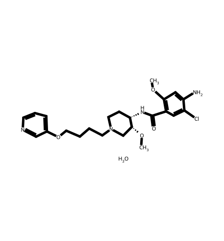 COc1cc(N)c(Cl)cc1C(=O)N[C@H]1CCN(CCCCOc2cccnc2)C[C@H]1OC.O